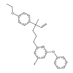 C=CC(C)(CCCc1cc(F)cc(Oc2ccccc2)n1)c1ccc(OCC)cc1